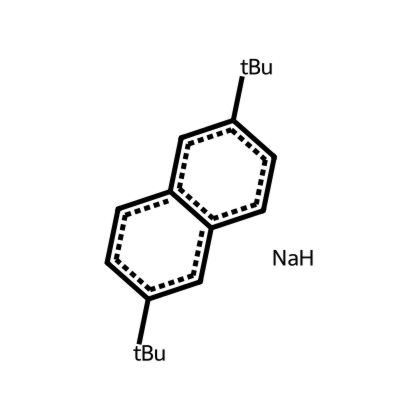 CC(C)(C)c1ccc2cc(C(C)(C)C)ccc2c1.[NaH]